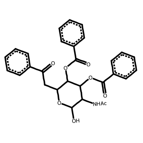 CC(=O)NC1C(O)OC(CC(=O)c2ccccc2)C(OC(=O)c2ccccc2)C1OC(=O)c1ccccc1